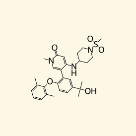 Cc1cccc(C)c1Oc1ccc(C(C)(C)O)cc1-c1cn(C)c(=O)cc1NC1CCN(S(C)(=O)=O)CC1